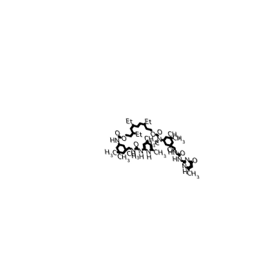 C=C1C=C(C)NC(NC(=O)NCC2(C)CC(NC(=O)OCCC(CC)CC(CC)CCC(CC)CCOC(=O)N(C)C3CC(C)(C)CC(C)(CNC(=O)Nc4nc(=O)cc(C)[nH]4)C3)CC(C)(C)C2)=C1